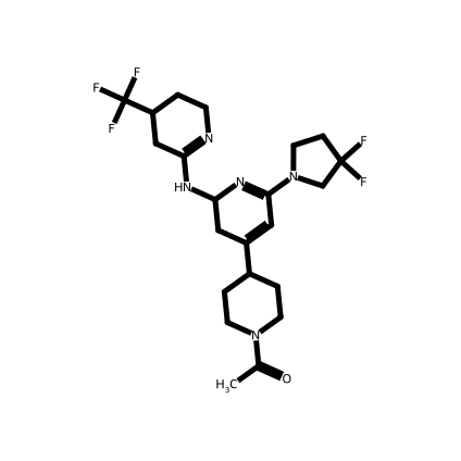 CC(=O)N1CCC(C2=CC(N3CCC(F)(F)C3)=NC(NC3=NCCC(C(F)(F)F)C3)C2)CC1